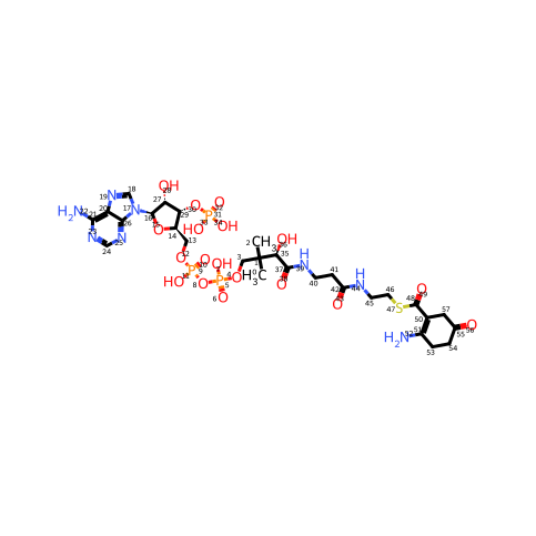 CC(C)(COP(=O)(O)OP(=O)(O)OC[C@H]1O[C@@H](n2cnc3c(N)ncnc32)[C@H](O)[C@@H]1OP(=O)(O)O)[C@@H](O)C(=O)NCCC(=O)NCCSC(=O)C1=C(N)CCC(=O)C1